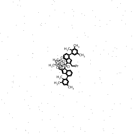 Cc1cc(C)c(C)c(-c2cccc3c2C=C(CC(C)C)[CH]3[Zr]([Cl])([Cl])([BH]N([Si](C)(C)C)[Si](C)(C)C)[CH]2C(CC(C)C)=Cc3c(-c4cc(C)cc(C)c4C)cccc32)c1